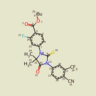 CC[C@H](C)OC(=O)c1ccc(N2C(=S)N(c3ccc(C#N)c(C(F)(F)F)c3)C(=O)C2(C)C)cc1F